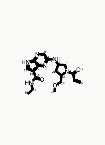 C=CC(=O)N1CC(Nc2cnc3[nH]cc(C(=O)NCC)c3n2)CC1COC